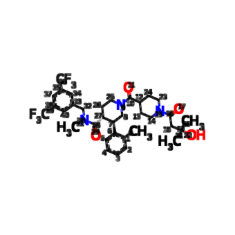 Cc1ccccc1[C@@H]1CN(C(=O)C2CCN(C(=O)CC(C)(C)O)CC2)CC[C@H]1C(=O)N(C)Cc1cc(C(F)(F)F)cc(C(F)(F)F)c1